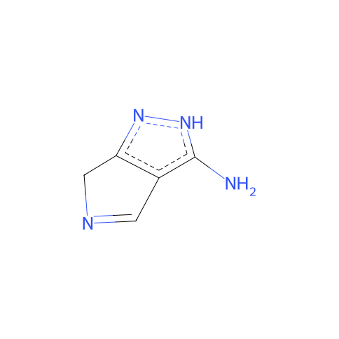 Nc1[nH]nc2c1C=NC2